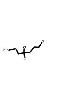 [SiH3]OCC(Cl)(Cl)CCCBr